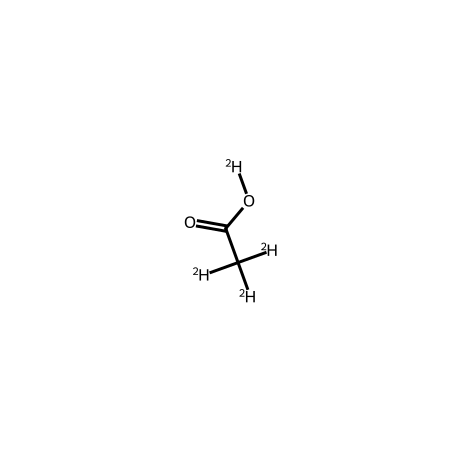 [2H]OC(=O)C([2H])([2H])[2H]